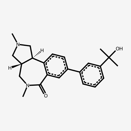 CN1C[C@H]2CN(C)C(=O)c3cc(-c4cccc(C(C)(C)O)c4)ccc3[C@@H]2C1